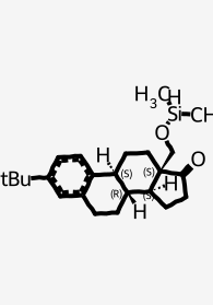 C[SiH](C)OC[C@]12CC[C@@H]3c4ccc(C(C)(C)C)cc4CC[C@H]3[C@@H]1CCC2=O